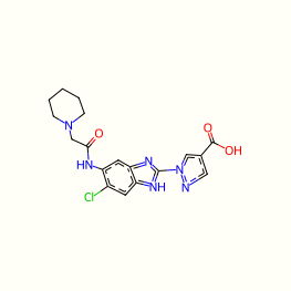 O=C(CN1CCCCC1)Nc1cc2nc(-n3cc(C(=O)O)cn3)[nH]c2cc1Cl